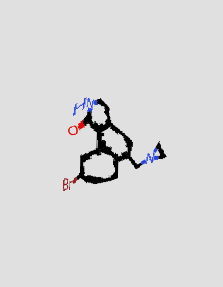 O=c1[nH]ccc2cc(CN3CC3)c3ccc(Br)cc3c12